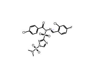 CN(C)S(=O)(=O)n1cnc(S(=O)(=O)N(/N=C/c2ccc(F)cc2Cl)C(=O)c2ccc(Cl)cc2)n1